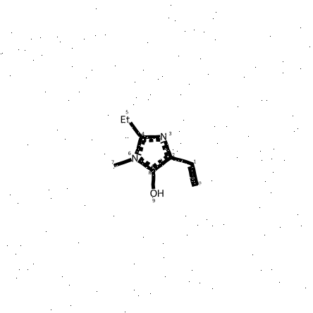 C=Cc1nc(CC)n(C)c1O